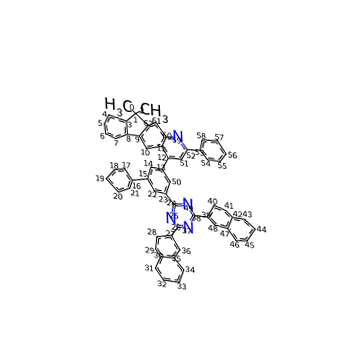 CC1(C)c2ccccc2-c2cc3c(-c4cc(-c5ccccc5)cc(-c5nc(-c6ccc7ccccc7c6)nc(-c6ccc7ccccc7c6)n5)c4)cc(-c4ccccc4)nc3cc21